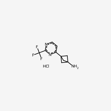 Cl.NC12CC(c3ccnc(C(F)(F)F)n3)(C1)C2